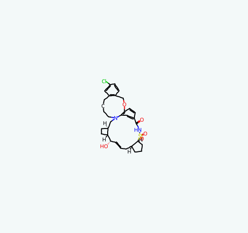 O=C1NS(=O)(=O)[C@@H]2CCC[C@@H]2C/C=C/[C@H](O)[C@@H]2CC[C@H]2CN2CCCCc3cc(Cl)ccc3COc3ccc1cc32